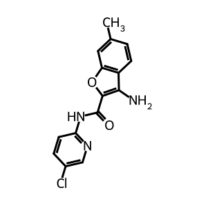 Cc1ccc2c(N)c(C(=O)Nc3ccc(Cl)cn3)oc2c1